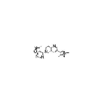 Cc1nn(C)cc1-c1cnc2c(c1)CN(c1ncnc3onc(C)c13)CC2